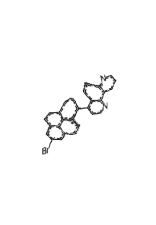 Brc1cc2ccc3ccc(-c4ccnc5c4ccc4ncccc45)c4ccc(c1)c2c34